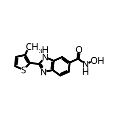 Cc1ccsc1-c1nc2ccc(C(=O)NO)cc2[nH]1